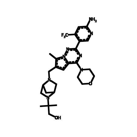 Cc1c(CN2CC3CC2CN3C(C)(C)CO)cc2c(N3CCOCC3)nc(-c3cnc(N)cc3C(F)(F)F)nn12